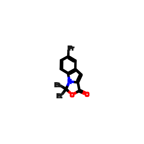 CCC1(CC)OC(=O)c2cc3cc(C(C)C)ccc3n21